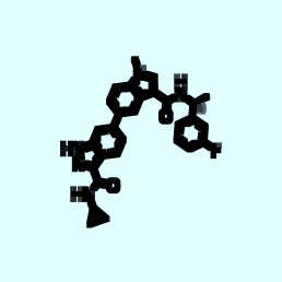 C[C@H](NC(=O)c1cn(C)c2ccc(-c3ccc4c(C(=O)NC5CC5)n[nH]c4c3)cc12)c1cccc(F)c1